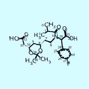 CC(C)C(=O)N(CC[C@H]1C[C@@H](CC(=O)O)OC(C)(C)O1)C(C(=O)O)c1ccc(F)cc1